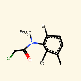 CCOC(=O)N(C(=O)CCl)c1c(CC)ccc(C)c1CC